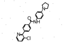 O=C(Nc1ccc(N2CCCC2)cc1)c1ccc(-c2ncccc2Cl)cc1